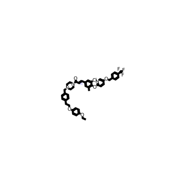 CCOc1ccc(OCCc2ccc(CN3CCN(C(=O)/C=C/c4cc(C)c(Oc5ccc(OCc6ccc(C(F)(F)F)cc6)cn5)c(Cl)c4)CC3)cc2)cc1